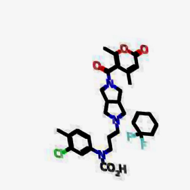 Cc1ccc(N(CCCN2CC3CN(C(=O)c4c(C)cc(=O)oc4C)CC3C2)C(=O)O)cc1Cl.FC1(F)CCCCC1